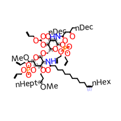 C=CCOC(=O)O[C@H]1[C@H](OCCCCCCCCCC)[C@@H](NC(=O)CC(=O)CCCCCCCCCCC)[C@@H](OP(=O)(OCC=C)OCC=C)O[C@@H]1CO[C@@H]1O[C@H](COC)[C@@H](OP(=O)(OCC=C)OCC=C)[C@H](OCC[C@@H](CCCCCCC)OC)[C@H]1NC(=O)CCCCCCCCC/C=C\CCCCCC